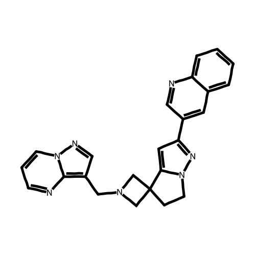 c1ccc2ncc(-c3cc4n(n3)CCC43CN(Cc4cnn5cccnc45)C3)cc2c1